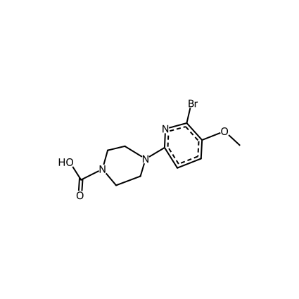 COc1ccc(N2CCN(C(=O)O)CC2)nc1Br